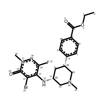 CCOC(=O)c1ccc([C@H]2C[C@@H](Nc3c(F)nn(C)c(=O)c3Br)CN(C)C2)cc1